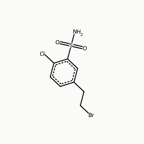 NS(=O)(=O)c1cc(CCBr)ccc1Cl